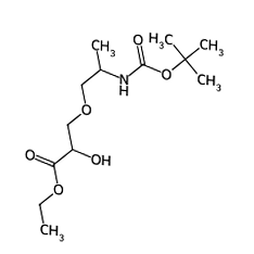 CCOC(=O)C(O)COCC(C)NC(=O)OC(C)(C)C